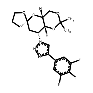 CC1(C)OC[C@H]2O[C@@]3(CCCO3)C[C@@H](n3cc(-c4cc(F)c(F)c(F)c4)nn3)[C@H]2O1